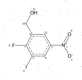 O=[N+]([O-])c1cc(I)c(F)c(CO)c1